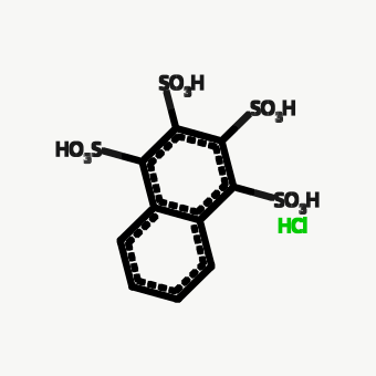 Cl.O=S(=O)(O)c1c(S(=O)(=O)O)c(S(=O)(=O)O)c2ccccc2c1S(=O)(=O)O